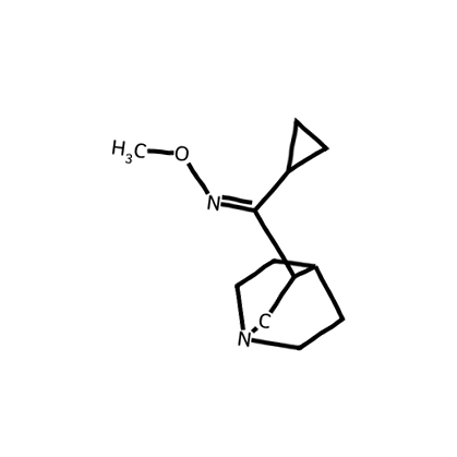 CON=C(C1CC1)C1CN2CCC1CC2